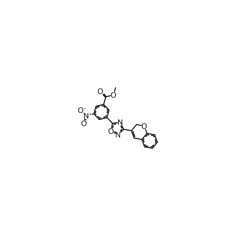 COC(=O)c1cc(-c2nc(C3=Cc4ccccc4OC3)no2)cc([N+](=O)[O-])c1